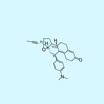 CC#C[C@]12CC[C@H]3[C@@H]4CCC5=CC(=O)CCC5=C4[C@@H](c4ccc(N(C)C)cc4)C[C@@]31O2